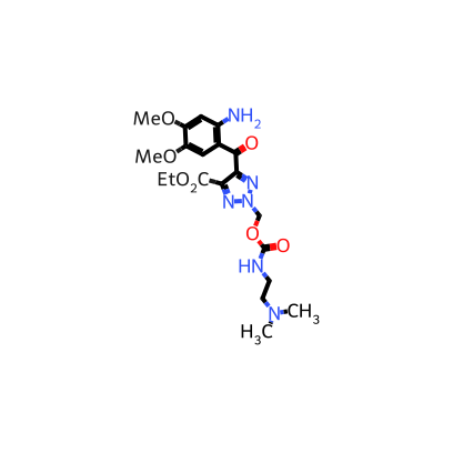 CCOC(=O)c1nn(COC(=O)NCCN(C)C)nc1C(=O)c1cc(OC)c(OC)cc1N